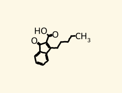 CCCCCC1=C(C(=O)O)C(=O)c2ccccc21